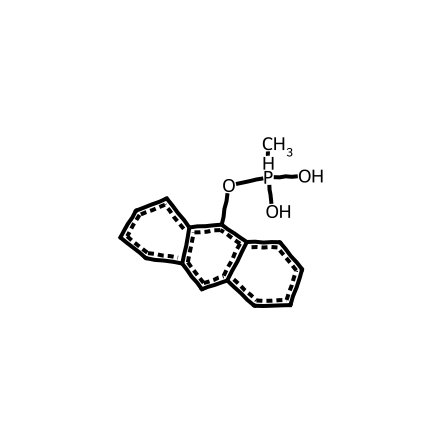 C[PH](O)(O)Oc1c2ccccc2cc2ccccc12